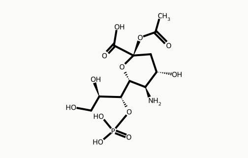 CC(=O)O[C@@]1(C(=O)O)C[C@H](O)[C@@H](N)[C@H]([C@H](OP(=O)(O)O)[C@H](O)CO)O1